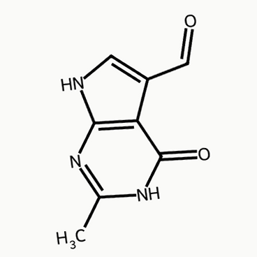 Cc1nc2[nH]cc(C=O)c2c(=O)[nH]1